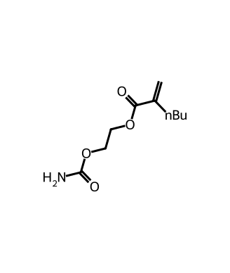 C=C(CCCC)C(=O)OCCOC(N)=O